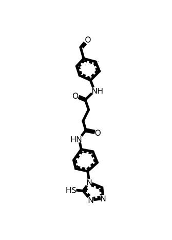 O=Cc1[c]cc(NC(=O)CCC(=O)Nc2ccc(-n3cnnc3S)cc2)cc1